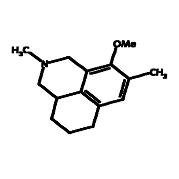 COc1c(C)cc2c3c1CN(C)CC3CCC2